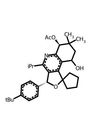 CC(=O)O[C@@H]1c2nc(C(C)C)c3c(c2C(O)CC1(C)C)C1(CCCC1)O[C@@H]3c1ccc(C(C)(C)C)cc1